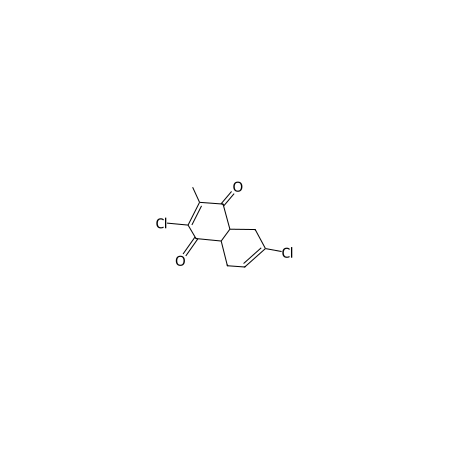 CC1=C(Cl)C(=O)C2CC=C(Cl)CC2C1=O